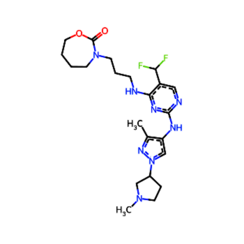 Cc1nn(C2CCN(C)C2)cc1Nc1ncc(C(F)F)c(NCCCN2CCCCOC2=O)n1